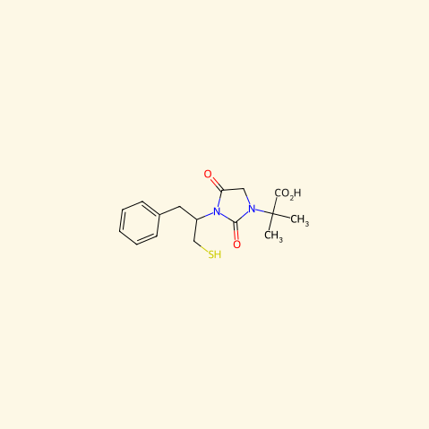 CC(C)(C(=O)O)N1CC(=O)N(C(CS)Cc2ccccc2)C1=O